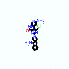 Cc1nc(N2CCC3(CC2)Cc2ccccc2[C@H]3N)nc(C(N)=O)c1-c1ccnc(N)c1Cl